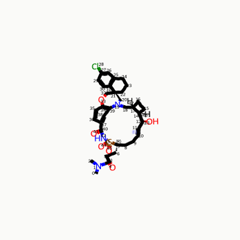 CN(C)C(=O)CC[C@H]1CC/C=C/[C@H](O)[C@@H]2CC[C@H]2CN2C[C@@]3(CCCc4cc(Cl)ccc43)COc3ccc(cc32)C(=O)NS1(=O)=O